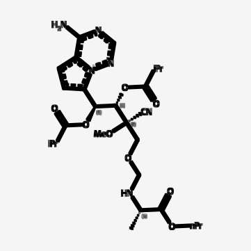 CCCOC(=O)[C@H](C)NCOC[C@@](C#N)(OC)[C@@H](OC(=O)C(C)C)[C@@H](OC(=O)C(C)C)c1ccc2c(N)ncnn12